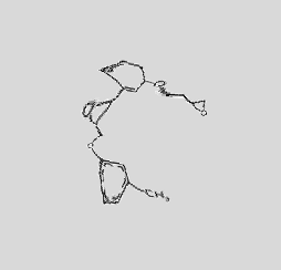 Cc1cccc(OCC2OC2C2=CC(OCC3CO3)CC=C2)c1